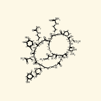 C[C@@H](O)[C@@H]1NC(=O)[C@@H]2CCC(=O)NCCCC[C@H](C(=O)N[C@@H](Cc3ccc(O)cc3)C(N)=O)NC(=O)[C@H](CCC(N)=O)NC(=O)[C@H](Cc3ccc(O)c(I)c3)NC(=O)[C@H](CCCNC(N)=O)NC(=O)[C@H](CSSCC(NC(=O)CN)C(=O)N2)NC(=O)[C@H](CCCNC(=N)N)NC(=O)C2CCCN2C(=O)[C@H](CC(=O)O)NC1=O